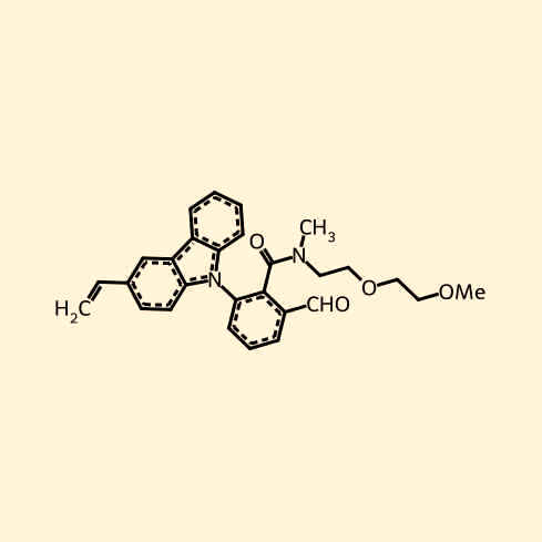 C=Cc1ccc2c(c1)c1ccccc1n2-c1cccc(C=O)c1C(=O)N(C)CCOCCOC